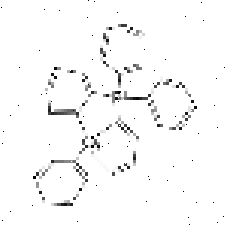 c1ccc(Oc2ccccc2[P+](c2ccccc2)(c2ccccc2)c2ccccc2)cc1